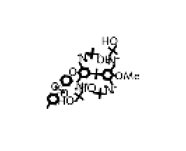 COc1c(C[N+](C)(C)CC(C)(C)CO)cc(C(C)(C)c2cc(C[N+](C)(C)CC(C)(C)CO)c(Oc3ccc(S(=O)(=O)c4ccc(C)cc4)cc3)c(C[N+](C)(C)CC(C)(C)CO)c2)cc1C[N+](C)(C)CC(C)(C)CO